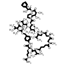 CC[C@H](C)[C@@H]([C@@H](CC(=O)N1CCC[C@H]1[C@H](C)[C@@H](C)C(=O)N[C@H](C)[C@@H](O)c1ccccc1)OC)N(C)C(=O)[C@@H](NC(=O)C(C(C)C)N(C)C(=O)OCc1ccc(NC(=O)[C@H](CCCNC(N)=O)NC(=O)C(NC(=O)CCCC(=O)N(C)CC(=O)N(C)CC(=O)N(C)CC(=O)C(C)C)C(C)C)cc1)C(C)C